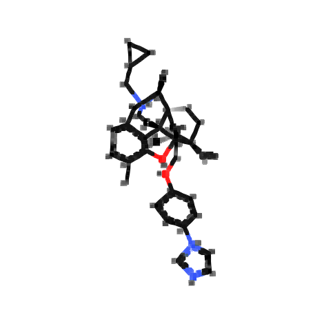 CO[C@]12CC[C@@]3(C[C@@H]1COc1ccc(-n4ccnc4)cc1)[C@H]1Cc4ccc(C)c5c4[C@@]3(CCN1CC1CC1)[C@H]2O5